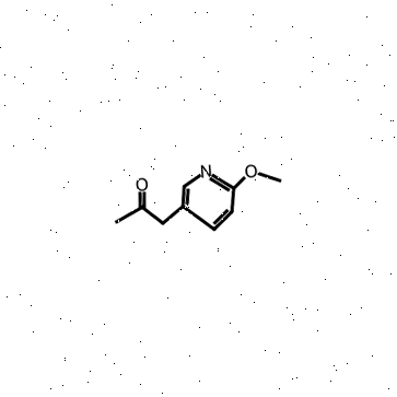 COc1ccc(CC(C)=O)cn1